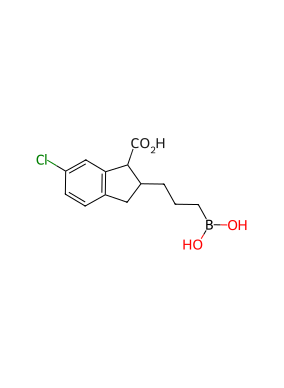 O=C(O)C1c2cc(Cl)ccc2CC1CCCB(O)O